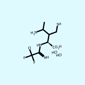 CC(N)C(CS)[C@H](NC(=N)C(F)(F)Cl)C(=O)O.Cl.Cl